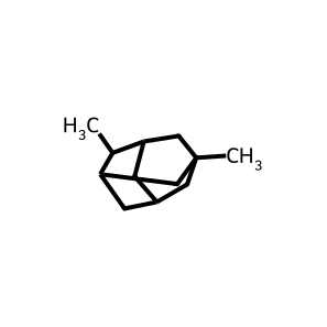 CC1C2CC3CC1CC(C)(C3)C2